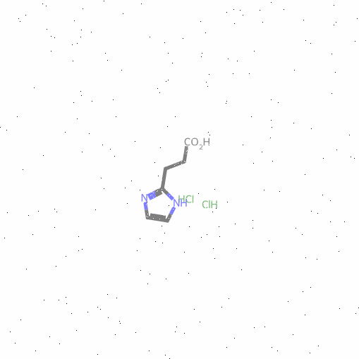 Cl.Cl.O=C(O)CCc1ncc[nH]1